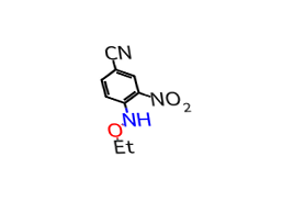 CCONc1ccc(C#N)cc1[N+](=O)[O-]